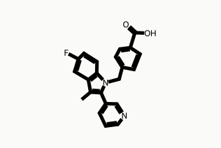 Cc1c(-c2cccnc2)n(Cc2ccc(C(=O)O)cc2)c2ccc(F)cc12